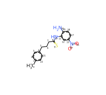 Cc1ccc(CCCC(=S)Nc2cc([N+](=O)[O-])ccc2N)cc1